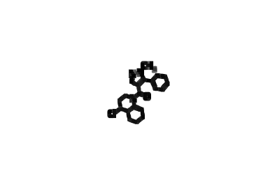 Cn1ncc(C(=O)N2CCC(Cl)C3CCCC=C32)c1-c1ccccc1